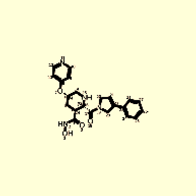 O=C(NO)[C@H]1C[C@H](Oc2ccncc2)CN[C@@H]1C(=O)N1CC=C(c2ccccc2)C1